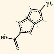 Nc1nc2sc(C(=O)O)cc2s1